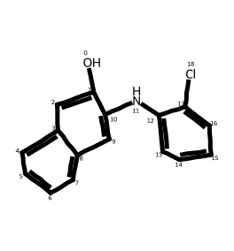 Oc1cc2ccccc2cc1Nc1ccccc1Cl